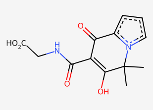 CC1(C)C(O)=C(C(=O)NCC(=O)O)C(=O)c2cccn21